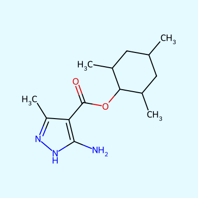 Cc1n[nH]c(N)c1C(=O)OC1C(C)CC(C)CC1C